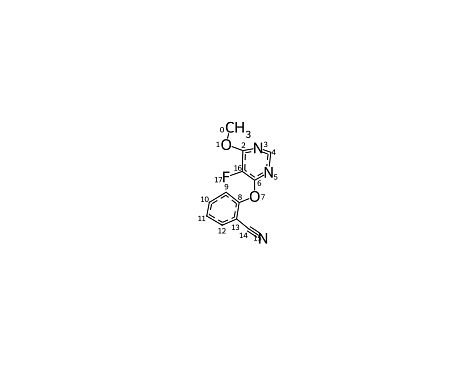 COc1ncnc(Oc2ccccc2C#N)c1F